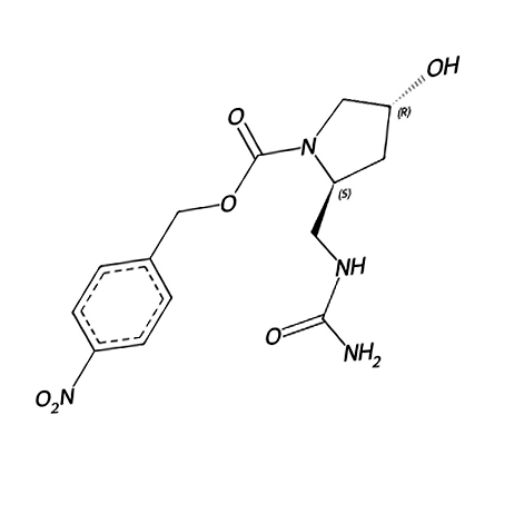 NC(=O)NC[C@@H]1C[C@@H](O)CN1C(=O)OCc1ccc([N+](=O)[O-])cc1